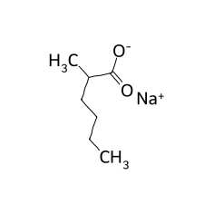 CCCCC(C)C(=O)[O-].[Na+]